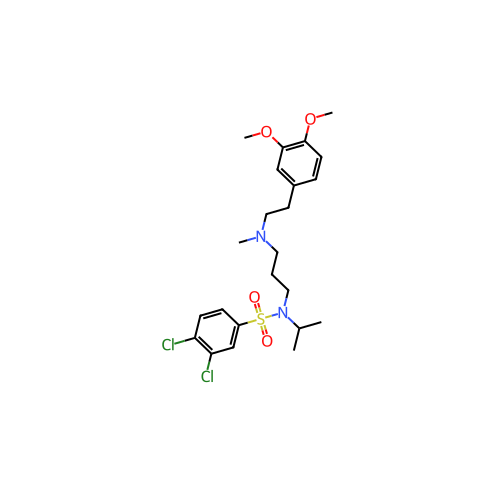 COc1ccc(CCN(C)CCCN(C(C)C)S(=O)(=O)c2ccc(Cl)c(Cl)c2)cc1OC